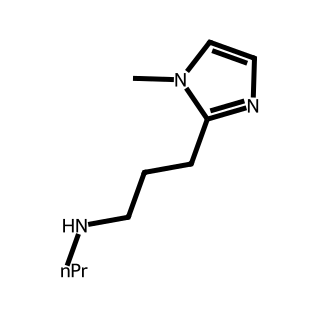 CCCNCCCc1nccn1C